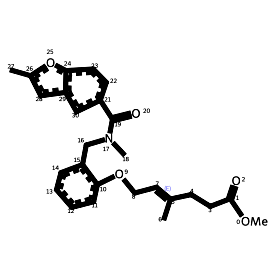 COC(=O)CC/C(C)=C/COc1ccccc1CN(C)C(=O)c1ccc2oc(C)cc2c1